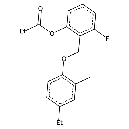 CCC(=O)Oc1cccc(F)c1COc1ccc(CC)cc1C